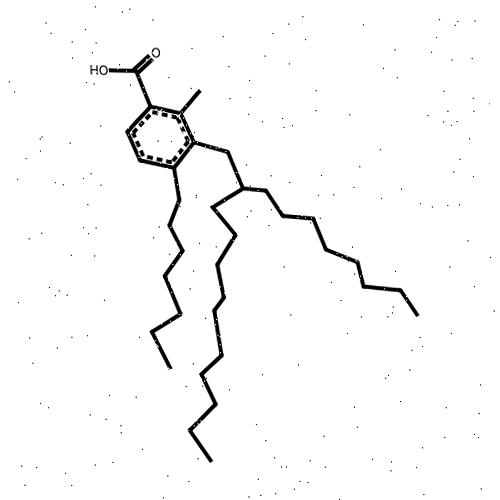 CCCCCCCCCCC(CCCCCCCC)Cc1c(CCCCCCC)ccc(C(=O)O)c1C